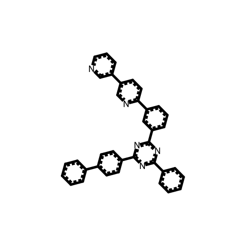 c1ccc(-c2ccc(-c3nc(-c4ccccc4)nc(-c4cccc(-c5ccc(-c6cccnc6)cn5)c4)n3)cc2)cc1